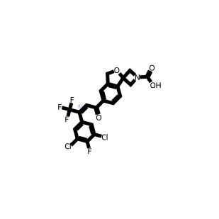 O=C(/C=C(\c1cc(Cl)c(F)c(Cl)c1)C(F)(F)F)c1ccc2c(c1)COC21CN(C(=O)O)C1